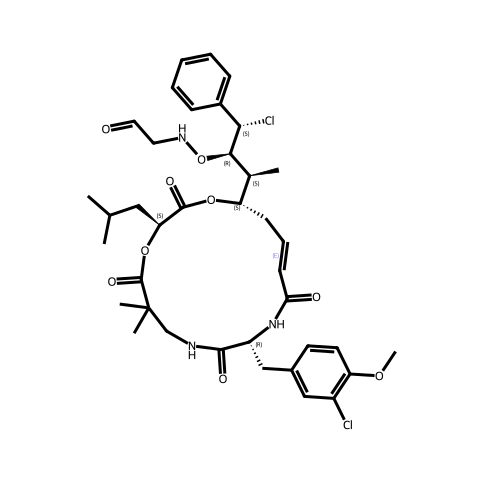 COc1ccc(C[C@H]2NC(=O)/C=C/C[C@@H]([C@H](C)[C@@H](ONCC=O)[C@@H](Cl)c3ccccc3)OC(=O)[C@H](CC(C)C)OC(=O)C(C)(C)CNC2=O)cc1Cl